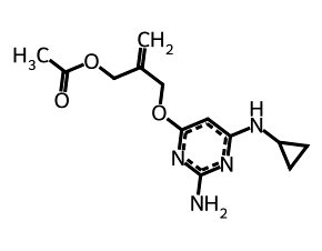 C=C(COC(C)=O)COc1cc(NC2CC2)nc(N)n1